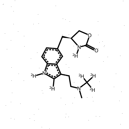 [2H]c1c(CCN(C)C([2H])([2H])[2H])c2cc(C[C@H]3COC(=O)N3[2H])ccc2n1[2H]